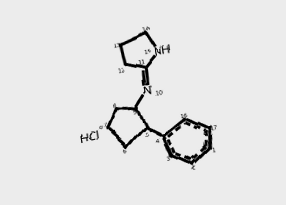 Cl.c1ccc(C2CCCC2/N=C2\CCCN2)cc1